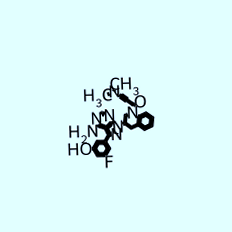 CN(C)C#CC(=O)N1CC(n2nc(-c3cc(O)cc(F)c3)c3c(N)ncnc32)Cc2ccccc21